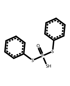 O=P(S)(Sc1ccccc1)Sc1ccccc1